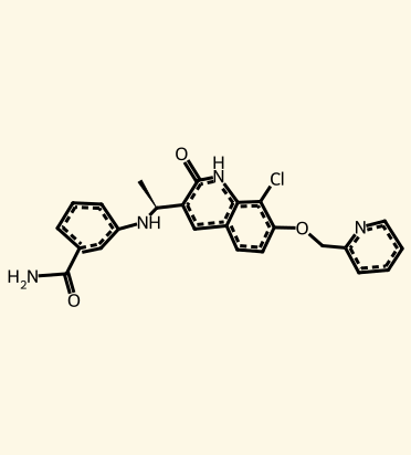 C[C@H](Nc1cccc(C(N)=O)c1)c1cc2ccc(OCc3ccccn3)c(Cl)c2[nH]c1=O